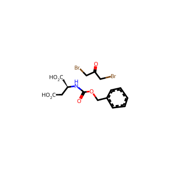 O=C(CBr)CBr.O=C(O)C[C@H](NC(=O)OCc1ccccc1)C(=O)O